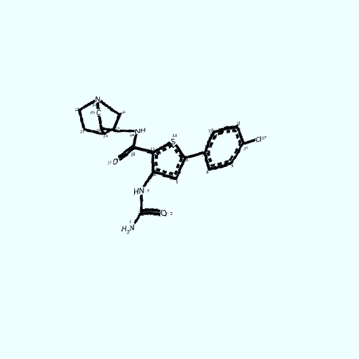 NC(=O)Nc1cc(-c2ccc(Cl)cc2)sc1C(=O)NC1CN2CCC1CC2